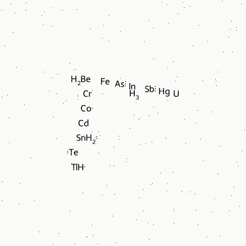 [As].[BeH2].[Cd].[Co].[Cr].[Fe].[Hg].[InH3].[Sb].[SnH2].[Te].[TlH].[U]